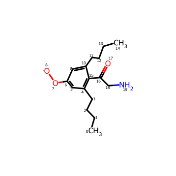 CCCCc1[c]c(O[O])cc(CCCC)c1C(=O)CN